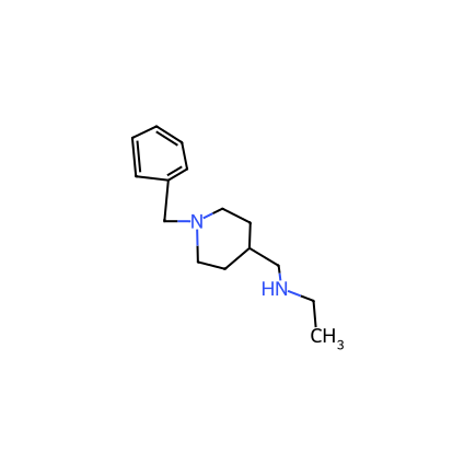 CCNCC1CCN(Cc2ccccc2)CC1